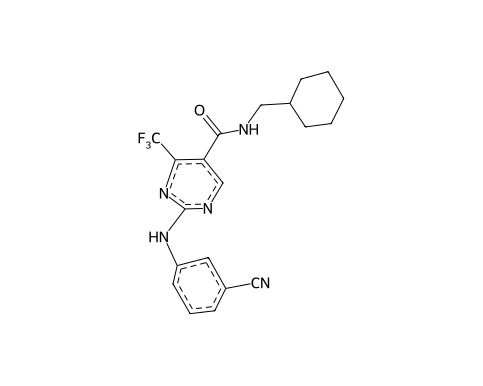 N#Cc1cccc(Nc2ncc(C(=O)NCC3CCCCC3)c(C(F)(F)F)n2)c1